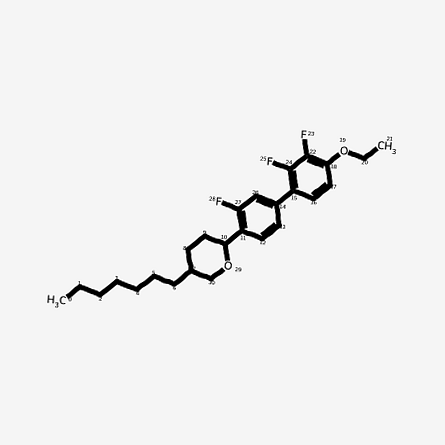 CCCCCCCC1CCC(c2ccc(-c3ccc(OCC)c(F)c3F)cc2F)OC1